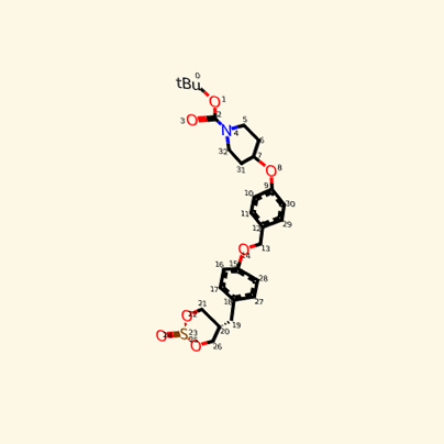 CC(C)(C)OC(=O)N1CCC(Oc2ccc(COc3ccc(C[C@H]4CO[S@@](=O)OC4)cc3)cc2)CC1